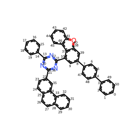 c1ccc(-c2ccc(-c3cc(-c4nc(-c5ccccc5)nc(-c5ccc6ccc7ccccc7c6c5)n4)c4c(c3)oc3ccccc34)cc2)cc1